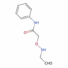 O=CCNOCC(=O)Nc1ccccc1